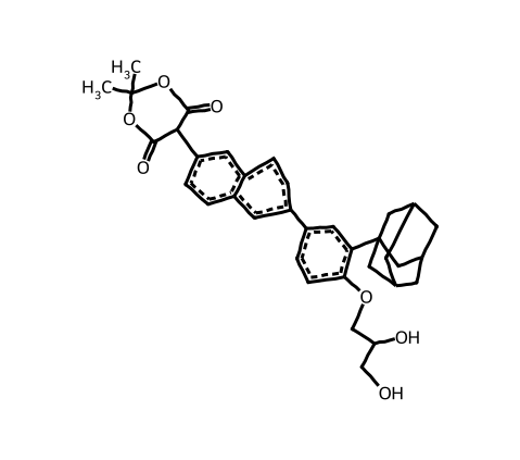 CC1(C)OC(=O)C(c2ccc3cc(-c4ccc(OCC(O)CO)c(C56CC7CC(CC(C7)C5)C6)c4)ccc3c2)C(=O)O1